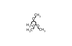 CCOC(CC)CC(OCC)OCC